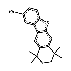 CC(C)(C)c1ccc2sc3cc4c(cc3c2c1)C(C)(C)CCC4(C)C